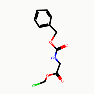 O=C(CNC(=O)OCc1ccccc1)OCCl